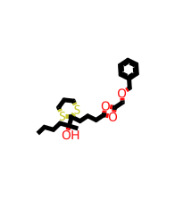 CCCCC(C)(O)C1(CCCC2OC(COCc3ccccc3)O2)SCCCS1